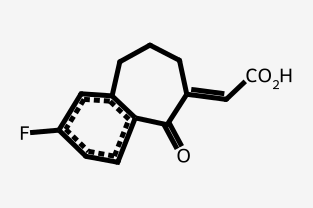 O=C(O)/C=C1\CCCc2cc(F)ccc2C1=O